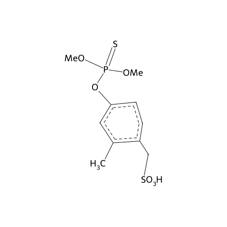 COP(=S)(OC)Oc1ccc(CS(=O)(=O)O)c(C)c1